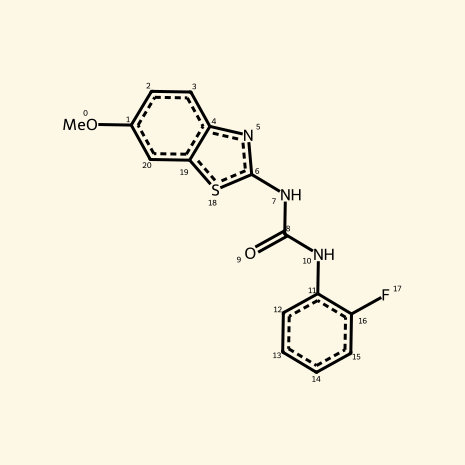 COc1ccc2nc(NC(=O)Nc3ccccc3F)sc2c1